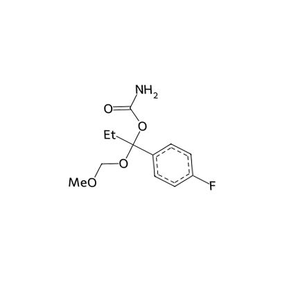 CCC(OCOC)(OC(N)=O)c1ccc(F)cc1